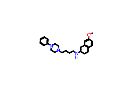 COc1ccc2c(c1)CC(NCCCCN1CCN(c3ccccc3)CC1)CC2